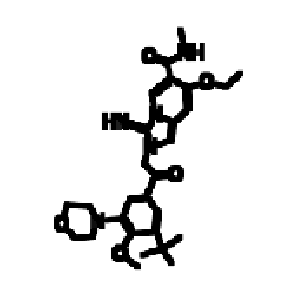 CCOc1cc2cn(CC(=O)c3cc(N4CCOCC4)c(OC)c(C(C)(C)C)c3)c(=N)n2cc1C(=O)NC